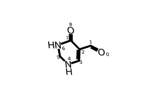 O=CC1=CNCNC1=O